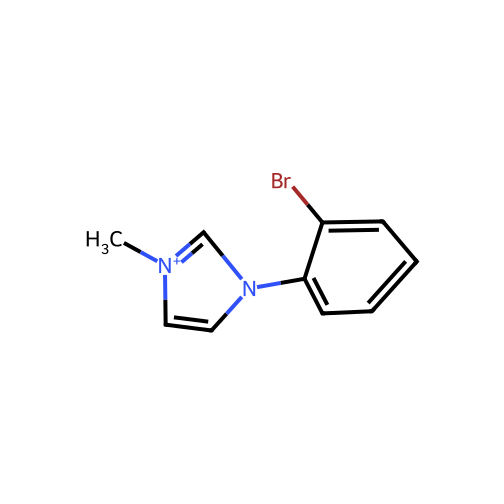 C[n+]1ccn(-c2ccccc2Br)c1